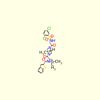 CC(C)CC(NC(=O)c1cc2ccccc2s1)C(=O)N1C[C@H]2N(C(=O)CNS(=O)(=O)c3cc(Cl)ccc3Cl)CC21C